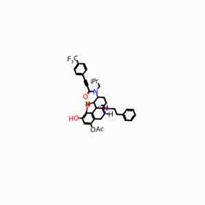 CC(=O)Oc1cc(O)c2c3c1C[C@@H]1[C@@H]4CC[C@H](N(CC(C)C)C(=O)C#Cc5ccc(C(F)(F)F)cc5)[C@H](O2)[C@]34CCN1CCc1ccccc1